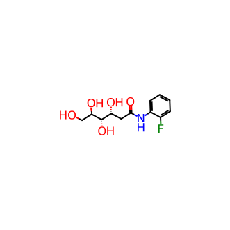 O=C(C[C@@H](O)[C@H](O)[C@H](O)CO)Nc1ccccc1F